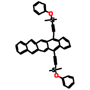 C[Si](C)(C#Cc1c2ccccc2c(C#C[Si](C)(C)Oc2ccccc2)c2cc3cc4ccccc4cc3cc12)Oc1ccccc1